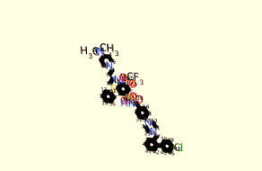 CN(C)C1CCN(CC[C@H](CSc2ccccc2)Nc2ccc(S(=O)(=O)NC(=O)c3ccc(N4CCN(Cc5ccccc5-c5ccc(Cl)cc5)CC4)cc3)cc2S(=O)(=O)C(F)(F)F)CC1